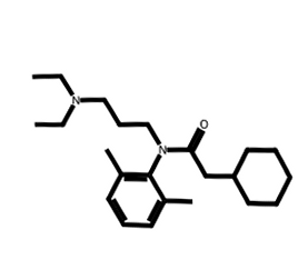 CCN(CC)CCCN(C(=O)CC1CCCCC1)c1c(C)cccc1C